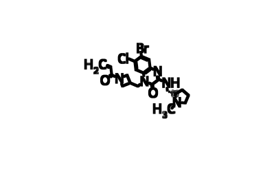 C=CC(=O)N1CC(Cn2c(=O)c(NC[C@@H]3CCCN3C)nc3cc(Br)c(Cl)cc32)C1